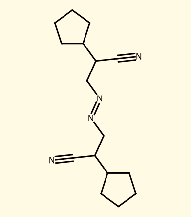 N#CC(CN=NCC(C#N)C1CCCC1)C1CCCC1